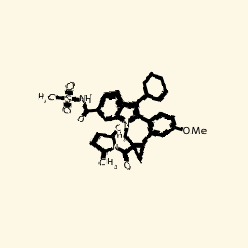 COc1ccc2c(c1)C1CC1(C(=O)N1C(C)CCC1C)Cn1c-2c(C2CCCCC2)c2ccc(C(=O)NS(C)(=O)=O)cc21